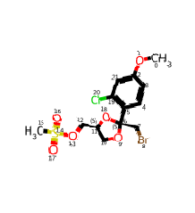 COc1ccc([C@]2(CBr)OC[C@@H](COS(C)(=O)=O)O2)c(Cl)c1